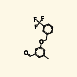 Cc1cc(C=O)cc(OCc2cccc(C(F)(F)F)c2)c1